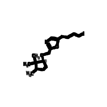 CC1CC[C@H](OCc2ncc(CCCCI)o2)C1(C)C